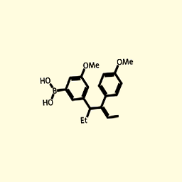 C/C=C(\c1ccc(OC)cc1)C(CC)c1cc(OC)cc(B(O)O)c1